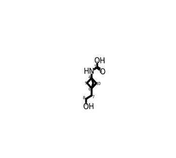 O=C(O)NC12CC(CCO)(C1)C2